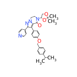 CC(C)c1ccc(COc2ccc(-c3c(-c4ccncc4)nn4c3C(=O)N(C3COC(C)(C)O3)CC4)cc2)cc1